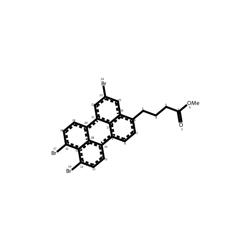 COC(=O)CCCc1ccc2c3ccc(Br)c4c(Br)ccc(c5cc(Br)cc1c25)c43